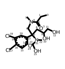 CCC(=O)N(C)CC(CC(O)CO)(c1ccc(Cl)c(Cl)c1)N(C)C(=O)O